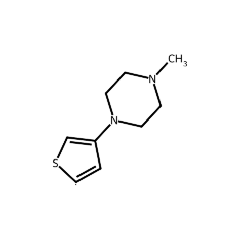 CN1CCN(c2c[c]sc2)CC1